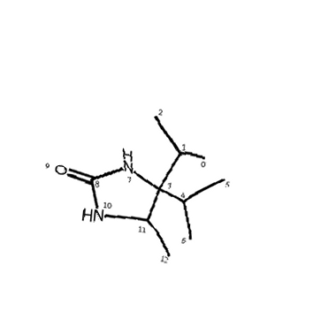 CC(C)C1(C(C)C)NC(=O)NC1C